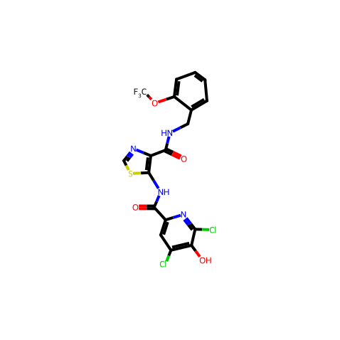 O=C(Nc1scnc1C(=O)NCc1ccccc1OC(F)(F)F)c1cc(Cl)c(O)c(Cl)n1